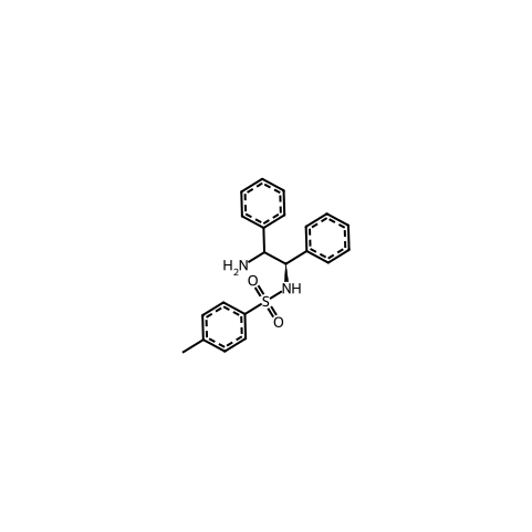 Cc1ccc(S(=O)(=O)N[C@H](c2ccccc2)C(N)c2ccccc2)cc1